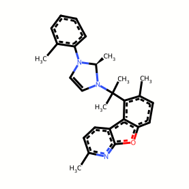 Cc1ccc2c(n1)oc1ccc(C)c(C(C)(C)N3C=CN(c4ccccc4C)[C@H]3C)c12